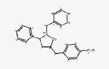 O=Cc1ccc(CC2CC(c3ccccc3)N(Cc3ccccc3)O2)cc1